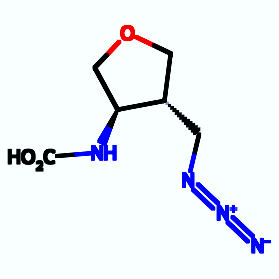 [N-]=[N+]=NC[C@H]1COC[C@@H]1NC(=O)O